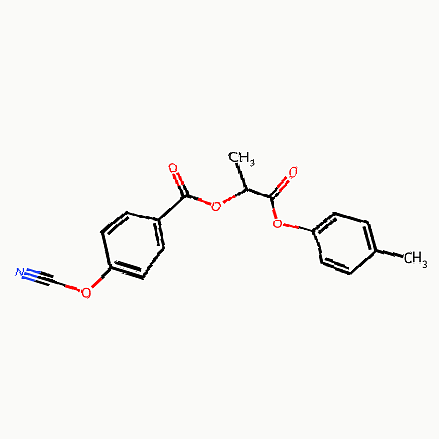 Cc1ccc(OC(=O)C(C)OC(=O)c2ccc(OC#N)cc2)cc1